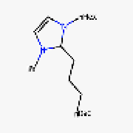 CCCCCCCCCCCCCC1N(CCCCCC)C=CN1C(C)C